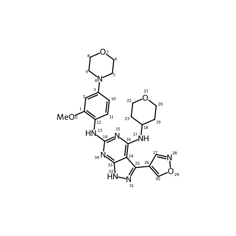 COc1cc(N2CCOCC2)ccc1Nc1nc(NC2CCOCC2)c2c(-c3cnoc3)n[nH]c2n1